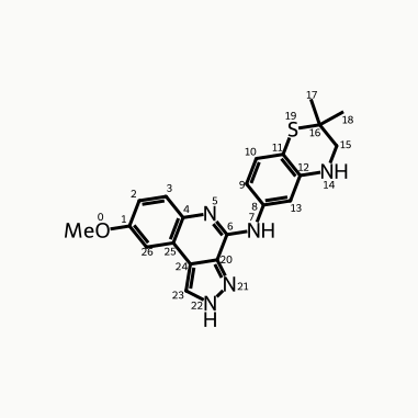 COc1ccc2nc(Nc3ccc4c(c3)NCC(C)(C)S4)c3n[nH]cc3c2c1